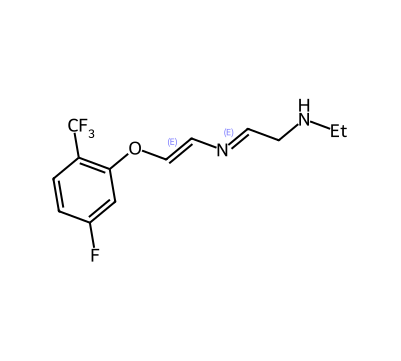 CCNC/C=N/C=C/Oc1cc(F)ccc1C(F)(F)F